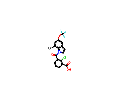 Cc1cc(OC(F)(F)F)cc2ccn(C(=O)c3cccc(C(=O)O)c3Cl)c12